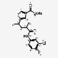 COC(=O)c1csc(C(C)CC(C)C(=O)Nc2ccc(F)c(Cl)c2)c1